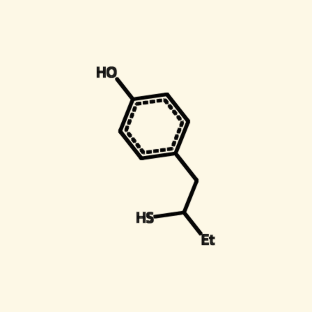 CCC(S)Cc1ccc(O)cc1